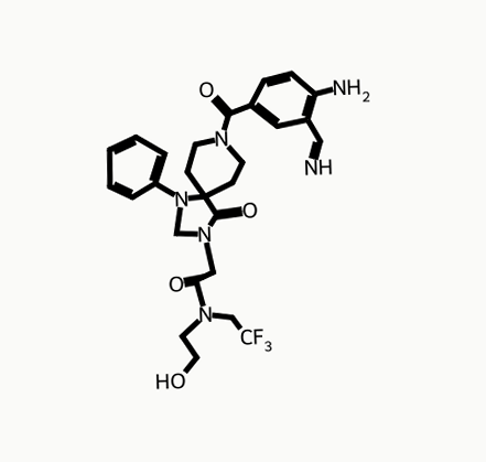 N=Cc1cc(C(=O)N2CCC3(CC2)C(=O)N(CC(=O)N(CCO)CC(F)(F)F)CN3c2ccccc2)ccc1N